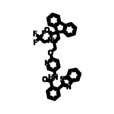 O=C(Nc1ccc(OCCCC2(C(=O)NCC(F)(F)F)c3ccccc3-c3ccccc32)nc1)c1ccccc1-c1nc2ccccc2s1